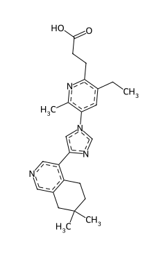 CCc1cc(-n2cnc(-c3cncc4c3CCC(C)(C)C4)c2)c(C)nc1CCC(=O)O